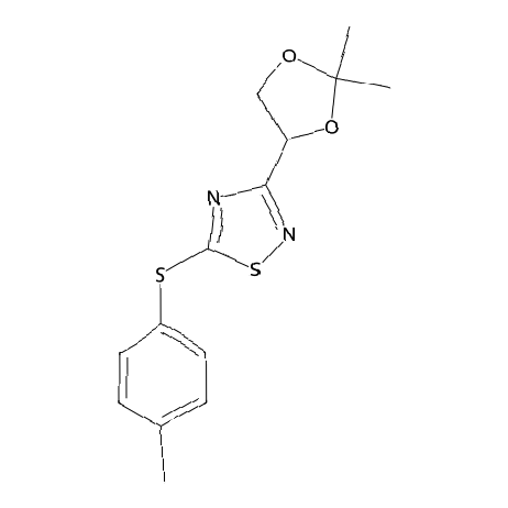 Cc1ccc(Sc2nc(C3COC(C)(C)O3)ns2)cc1